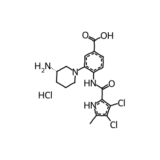 Cc1[nH]c(C(=O)Nc2ccc(C(=O)O)cc2N2CCC[C@H](N)C2)c(Cl)c1Cl.Cl